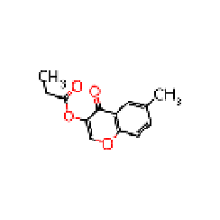 CCC(=O)Oc1coc2ccc(C)cc2c1=O